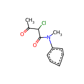 CC(=O)C(Cl)C(=O)N(C)c1ccccc1